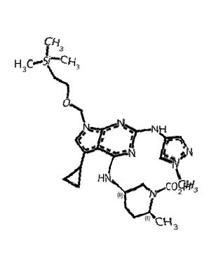 C[C@H]1CC[C@@H](Nc2nc(Nc3cnn(C)c3)nc3c2c(C2CC2)cn3COCC[Si](C)(C)C)CN1C(=O)O